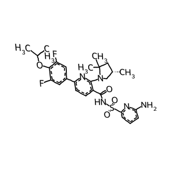 CC(C)Oc1c(F)cc(-c2ccc(C(=O)NS(=O)(=O)c3cccc(N)n3)c(N3C[C@@H](C)CC3(C)C)n2)cc1F